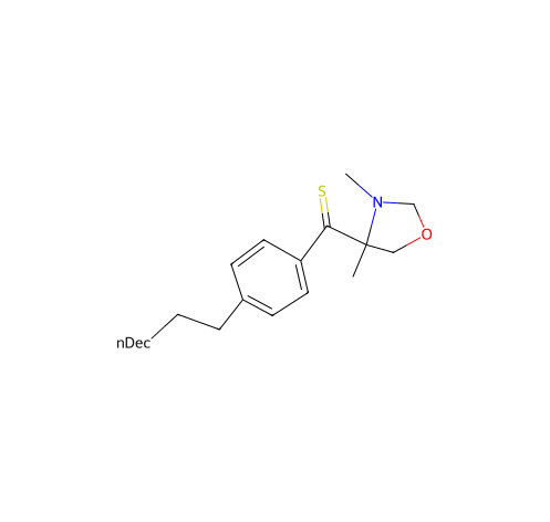 CCCCCCCCCCCCc1ccc(C(=S)C2(C)COCN2C)cc1